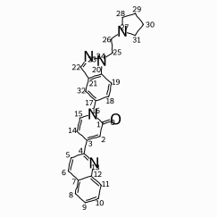 O=c1cc(-c2ccc3ccccc3n2)ccn1-c1ccc2c(cnn2CCN2CCCC2)c1